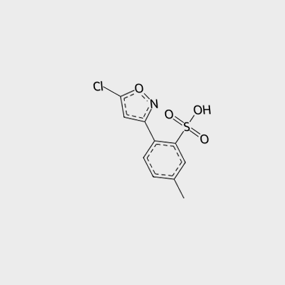 Cc1ccc(-c2cc(Cl)on2)c(S(=O)(=O)O)c1